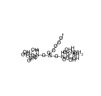 C#CCOCCOCCOCCOCCC(=O)N(CCCOCCCNC(=O)CO[C@H](CCO)[C@@H]1OC(C(=O)O)=CC[C@H]1NC(C)=O)CCCOCCCNC(=O)CO[C@@H](C1C[C@@H](NC(=N)N)C=C(C(=O)O)O1)[C@H](O)CO